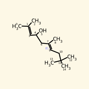 CC(C)=CC(O)C/C(C)=C/CC(C)(C)C